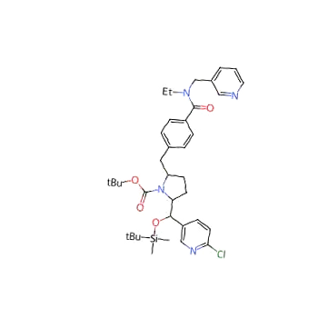 CCN(Cc1cccnc1)C(=O)c1ccc(CC2CCC(C(O[Si](C)(C)C(C)(C)C)c3ccc(Cl)nc3)N2C(=O)OC(C)(C)C)cc1